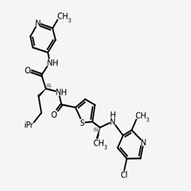 Cc1cc(NC(=O)[C@H](CCC(C)C)NC(=O)c2ccc([C@H](C)Nc3cc(Cl)cnc3C)s2)ccn1